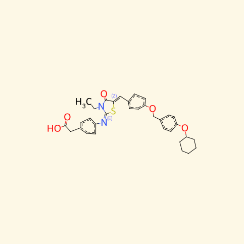 CCN1C(=O)/C(=C/c2ccc(OCc3ccc(OC4CCCCC4)cc3)cc2)S/C1=N/c1ccc(CC(=O)O)cc1